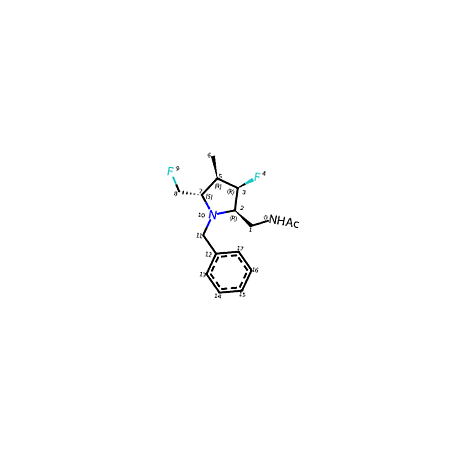 CC(=O)NC[C@@H]1[C@H](F)[C@H](C)[C@@H](CF)N1Cc1ccccc1